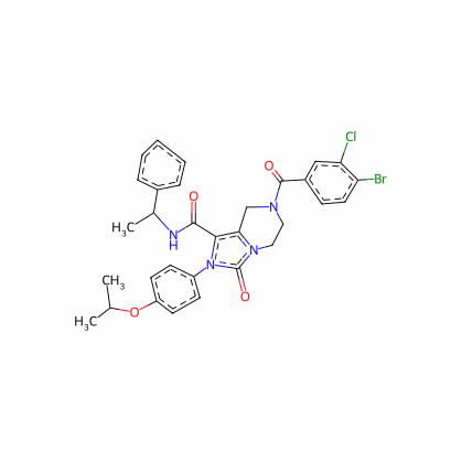 CC(C)Oc1ccc(-n2c(C(=O)NC(C)c3ccccc3)c3n(c2=O)CCN(C(=O)c2ccc(Br)c(Cl)c2)C3)cc1